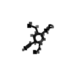 [C-]#[N+]c1cc(CBr)c(C#N)cc1CBr